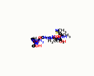 Cc1ncsc1-c1ccc([C@H](C)NC(=O)[C@@H]2C[C@@H](O)CN2C(=O)[C@H](c2cc(N3CCN(CCN4CCC(OC5CC(Oc6cc(N7C8CC[C@@H]7CN(c7cc(-c9ccccc9O)nnc7N)C8)ccn6)C5)CC4)CC3)no2)C(C)C)cc1